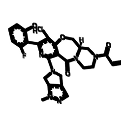 C=CC(=O)N1CCN2C(=O)c3c(N4Cc5cnn(C)c5C4)nc(-c4c(O)cccc4F)c(Cl)c3OC[C@H]2C1